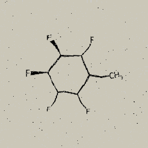 CC1C(F)C(F)[C@@H](F)[C@@H](F)C1F